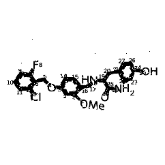 COc1cc(OCc2c(F)cccc2Cl)ccc1CNC(Cc1ccc(O)cc1)C(N)=O